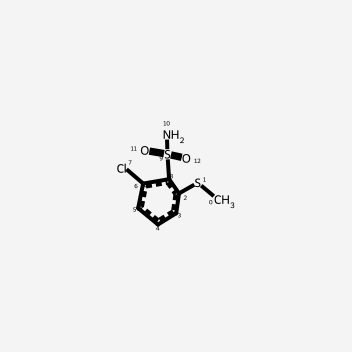 CSc1cccc(Cl)c1S(N)(=O)=O